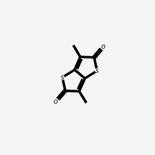 CC1=C2SC(=O)C(C)=C2SC1=O